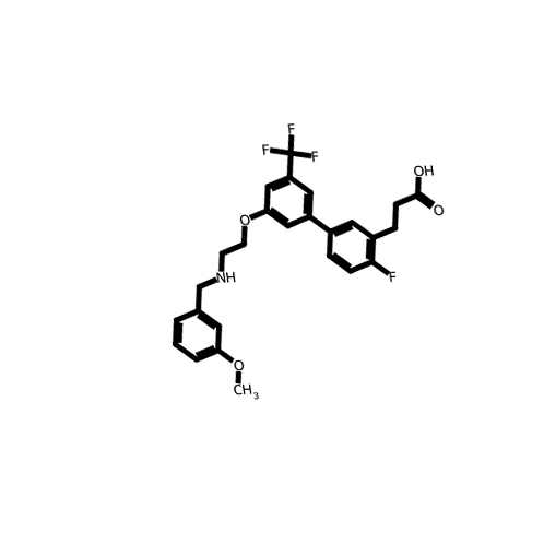 COc1cccc(CNCCOc2cc(-c3ccc(F)c(CCC(=O)O)c3)cc(C(F)(F)F)c2)c1